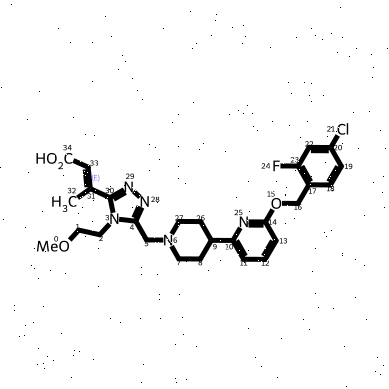 COCCn1c(CN2CCC(c3cccc(OCc4ccc(Cl)cc4F)n3)CC2)nnc1/C(C)=C/C(=O)O